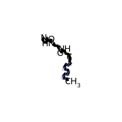 CC/C=C\C/C=C\C/C=C\C/C=C\CC=C=CCCC(=O)NCCCCNC(=O)C1=CCCN=C1